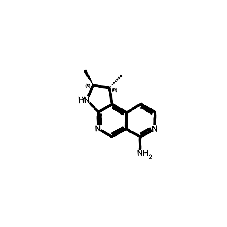 C[C@@H]1Nc2ncc3c(N)nccc3c2[C@H]1C